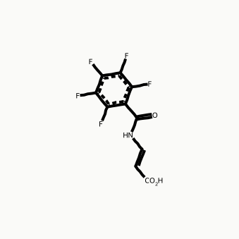 O=C(O)C=CNC(=O)c1c(F)c(F)c(F)c(F)c1F